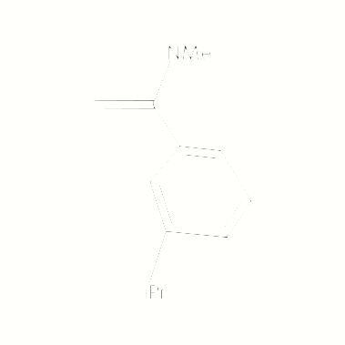 C=C(NC)c1cccc(C(C)C)c1